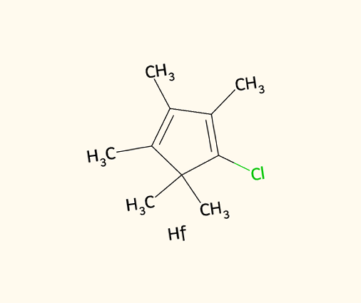 CC1=C(C)C(C)(C)C(Cl)=C1C.[Hf]